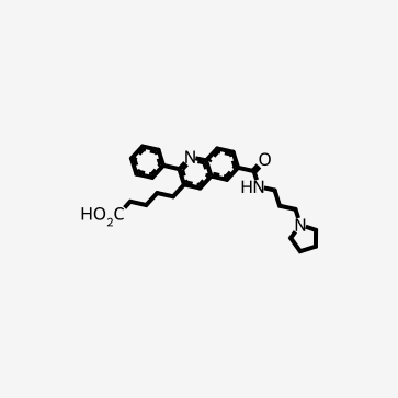 O=C(O)CCCCc1cc2cc(C(=O)NCCCN3CCCC3)ccc2nc1-c1ccccc1